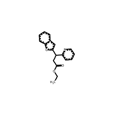 CCOC(=O)CC(c1ccccn1)c1cc2ccccc2o1